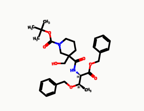 C[C@@H](OCc1ccccc1)[C@H](NC(=O)C1(CO)CCCN(C(=O)OC(C)(C)C)C1)C(=O)OCc1ccccc1